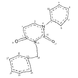 O=c1ccn(-c2ccccc2)c(=O)n1Cc1ccccc1